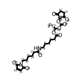 CC(C)C(OC(=O)CCCCCNC(=O)CCCCCN1C(=O)C=CC1=O)OC(=O)ON1C(=O)CCC1=O